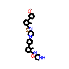 COc1cccc(-c2cccc(-c3nc4c(s3)CN(c3ccc(-c5cccc(-c6nc7c(o6)CCNC7)c5C)cc3)CC4)c2C)c1